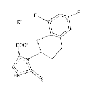 O=C([O-])c1c[nH]c(=S)n1C1CCc2cc(F)cc(F)c2C1.[K+]